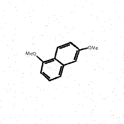 COc1[c]c2cccc(OC)c2cc1